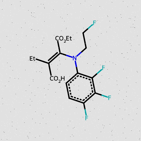 CCOC(=O)C(=C(CC)C(=O)O)N(CCF)c1ccc(F)c(F)c1F